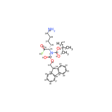 CC(C)(C)OC(=O)N(C(=O)OCC1c2ccccc2-c2ccccc21)[C@@H](CCCCN)C(=O)F